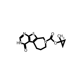 CC1(OC(=O)N2CCCc3c(sc4nc[nH]c(=O)c34)C2)CC1